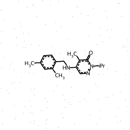 Cc1ccc(CNc2cnn(C(C)C)c(=O)c2C)c(C)c1